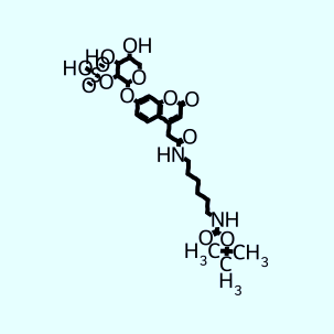 CC(C)(C)OC(=O)NCCCCCCNC(=O)Cc1cc(=O)oc2cc(OC3OCC(O)C(O)C3OS(=O)(=O)O)ccc12